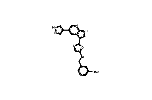 COc1cccc(CNc2nnc(-c3c[nH]c4ncc(-c5cn[nH]c5)cc34)o2)c1